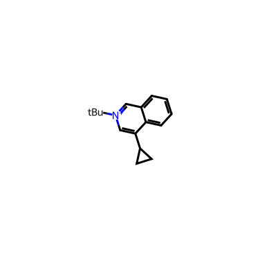 CC(C)(C)[n+]1cc(C2CC2)c2ccccc2c1